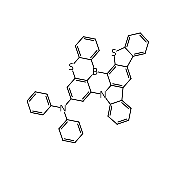 c1ccc(N(c2ccccc2)c2cc3c4c(c2)-n2c5ccccc5c5cc6c(sc7ccccc76)c(c52)B4c2ccccc2S3)cc1